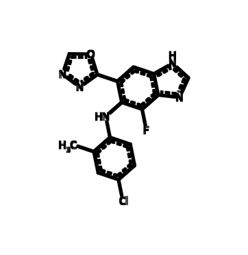 Cc1cc(Cl)ccc1Nc1c(-c2nnco2)cc2[nH]cnc2c1F